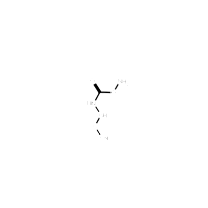 N#COBNC(=O)ON